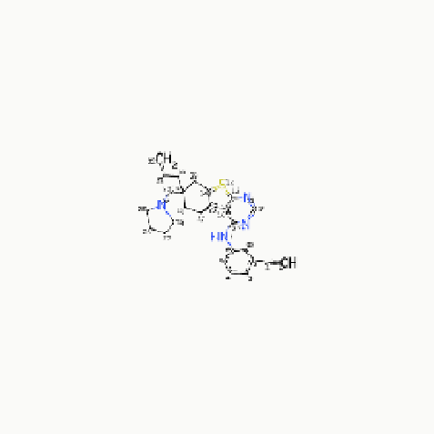 C#Cc1cccc(Nc2ncnc3sc4c(c23)CCC(CC=C)(CN2CCCC2)C4)c1